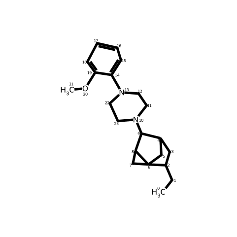 CCC1CC2CC13CC3C2N1CCN(c2ccccc2OC)CC1